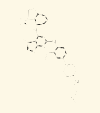 CNCCNC1CCN(c2ccc(Nc3nc(Nc4cccc5c4N(S(C)(=O)=O)CC5)c4c(ncn4C)n3)c(OC)c2)CC1